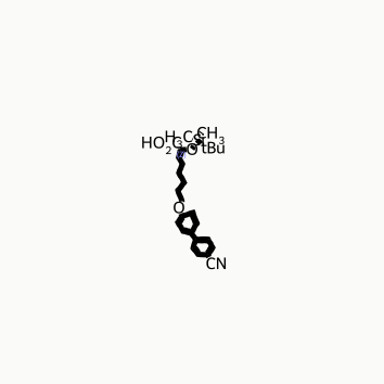 CC(C)(C)[Si](C)(C)O/C(=C\CCCCCOc1ccc(-c2ccc(C#N)cc2)cc1)C(=O)O